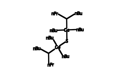 CCCC[CH](CCC)[Ge]([CH2]CCC)([CH2]CCC)[S][Ge]([CH2]CCC)([CH2]CCC)[CH](CCC)CCCC